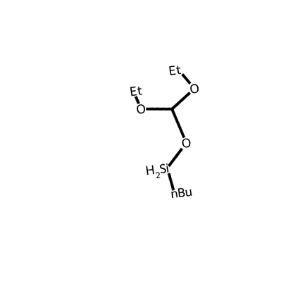 CCCC[SiH2]OC(OCC)OCC